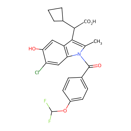 Cc1c(C(C(=O)O)C2CCC2)c2cc(O)c(Cl)cc2n1C(=O)c1ccc(OC(F)F)cc1